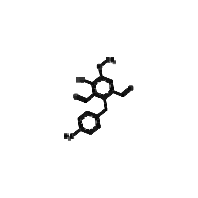 COc1cc(C=O)c(Cc2ccc(C)cc2)c(C=O)c1O